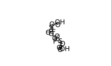 COc1cc2sc(C(=O)CCC(=O)O)cc2c(F)c1OCCCOc1c(OC)cc2sc(C(=O)CCP(=O)(O)OC)cc2c1F